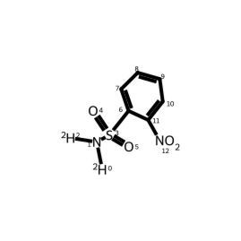 [2H]N([2H])S(=O)(=O)c1ccccc1[N+](=O)[O-]